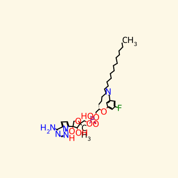 CCCCCCCCCCCCCCCCCC[C@@H](COP(=O)(O)OC[C@@]1(C)OCC(O)(c2ccc3c(N)ncnn23)[C@@H]1O)Oc1cc(F)cc(C#N)c1